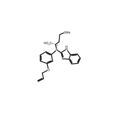 C=CCOc1cccc(N(c2nc3ccccc3[nH]2)[C@@H](CCSC)C(=O)O)c1